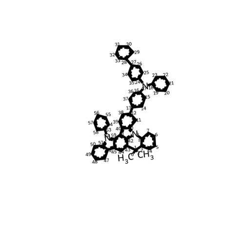 CC1(C)c2ccccc2-n2c3cc(-c4ccc(N(c5ccccc5)c5ccc(-c6ccccc6)cc5)cc4)ccc3c3c2c1cc1c2ccccc2n(-c2ccccc2)c13